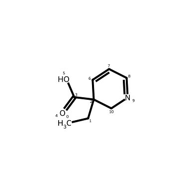 CCC1(C(=O)O)C=CC=NC1